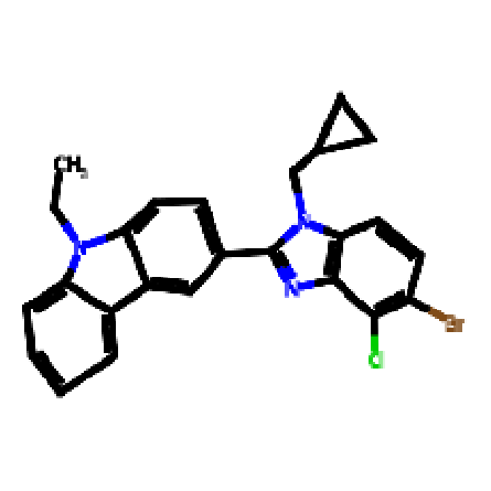 CCn1c2ccccc2c2cc(-c3nc4c(Cl)c(Br)ccc4n3CC3CC3)ccc21